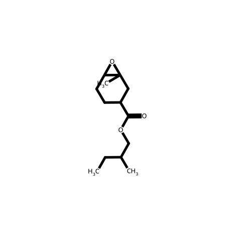 CCC(C)COC(=O)C1CCC2OC2(C)C1